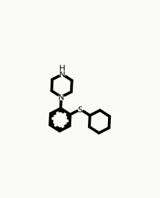 c1ccc(N2CCNCC2)c(SC2CCCCC2)c1